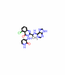 CC(Nc1ncnc2[nH]cnc12)c1nc2cccc(Cl)c2c(=O)n1Nc1ccc[nH]c1=O